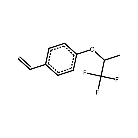 C=Cc1ccc(OC(C)C(F)(F)F)cc1